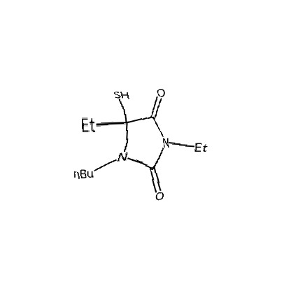 CCCCN1C(=O)N(CC)C(=O)C1(S)CC